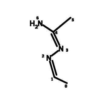 C/C=N\N=C(\C)N